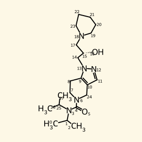 CC(C)N(C(=O)N1CCc2c(cnn2C[C@@H](O)CN2CCCCC2)C1)C(C)C